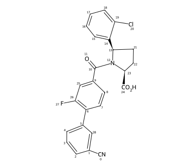 N#Cc1cccc(-c2ccc(C(=O)N3[C@@H](c4ccccc4Cl)CC[C@H]3C(=O)O)cc2F)c1